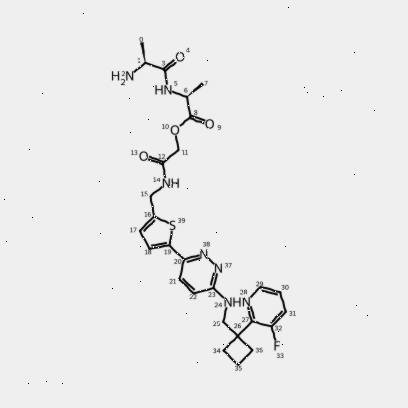 C[C@H](N)C(=O)N[C@@H](C)C(=O)OCC(=O)NCc1ccc(-c2ccc(NCC3(c4ncccc4F)CCC3)nn2)s1